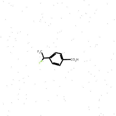 O=C(O)c1ccc(C(F)C(F)(F)F)cc1